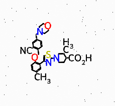 Cc1ccc(OCc2ccc(CN3CCOCC3)cc2C#N)c(-c2csc(N3CCC(C(=O)O)C(C)C3)n2)c1